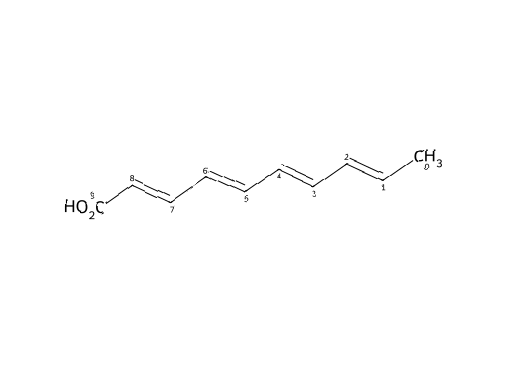 C/C=C/C=CC=CC=CC(=O)O